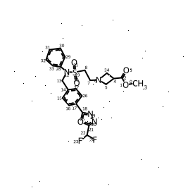 COC(=O)C1CN(CCS(=O)(=O)N(Cc2ccc(-c3nnc(C(F)F)o3)cc2)c2ccccc2)C1